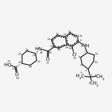 CC(C)(C)C1CCC(Nc2ncc3ccc(C(=O)N[C@H]4CC[C@@H](C(=O)O)CC4)cc3c2Cl)CC1